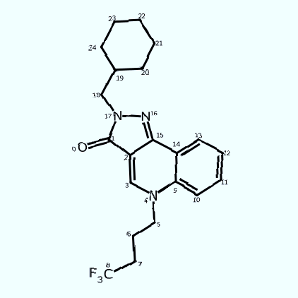 O=c1c2cn(CCCC(F)(F)F)c3ccccc3c-2nn1CC1CCCCC1